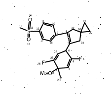 COC1(F)C=C(F)C(C2=C(c3ccc(S(C)(=O)=O)cc3)CC3(CC3)C2)C=C1F